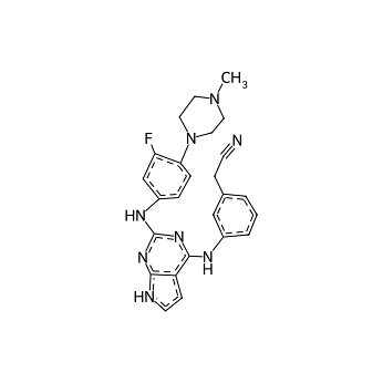 CN1CCN(c2ccc(Nc3nc(Nc4cccc(CC#N)c4)c4cc[nH]c4n3)cc2F)CC1